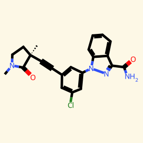 CN1CC[C@@](C)(C#Cc2cc(Cl)cc(-n3nc(C(N)=O)c4ccccc43)c2)C1=O